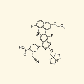 C#Cc1c(F)ccc2cc(OCOC)cc(-c3c(F)cc4c(N5CCN(C(=O)O)[C@@H](CC#N)C5)nc(OCC56CCCN5CCC6)nc4c3F)c12